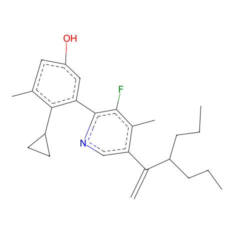 C=C(c1cnc(-c2cc(O)cc(C)c2C2CC2)c(F)c1C)C(CCC)CCC